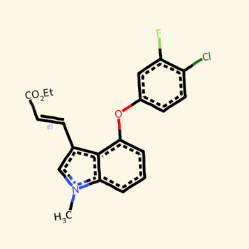 CCOC(=O)/C=C/c1cn(C)c2cccc(Oc3ccc(Cl)c(F)c3)c12